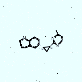 Cc1ccnc([C@H]2C[C@@H]2c2ccc3ncccc3c2)n1